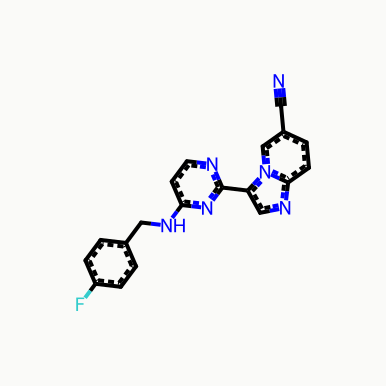 N#Cc1ccc2ncc(-c3nccc(NCc4ccc(F)cc4)n3)n2c1